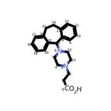 O=C(O)CCN1CCN(C2c3ccccc3CCc3ccccc32)CC1